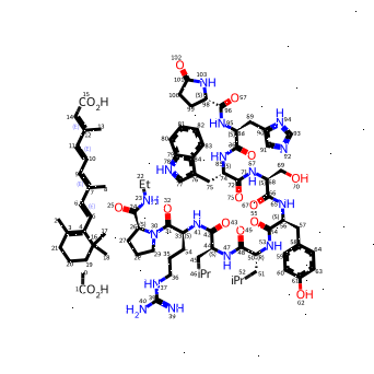 CC(=O)O.CC1=C(/C=C/C(C)=C/C=C/C(C)=C/C(=O)O)C(C)(C)CCC1.CCNC(=O)[C@@H]1CCCN1C(=O)[C@H](CCCNC(=N)N)NC(=O)[C@H](CC(C)C)NC(=O)[C@@H](CC(C)C)NC(=O)[C@H](Cc1ccc(O)cc1)NC(=O)[C@H](CO)NC(=O)[C@H](Cc1c[nH]c2ccccc12)NC(=O)[C@H](Cc1cnc[nH]1)NC(=O)[C@@H]1CCC(=O)N1